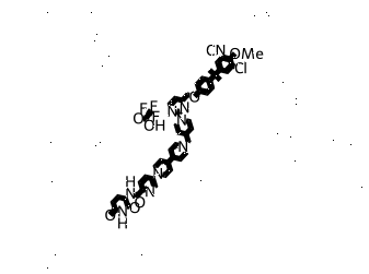 COc1c(Cl)cc(C(C)(C)c2ccc(OCc3ccnc(N4CCC(CN5CCC(C6CCN(c7ccc(C(=O)NC8CCC(=O)NC8=O)nc7)CC6)CC5)CC4)n3)cc2)cc1C#N.O=C(O)C(F)(F)F